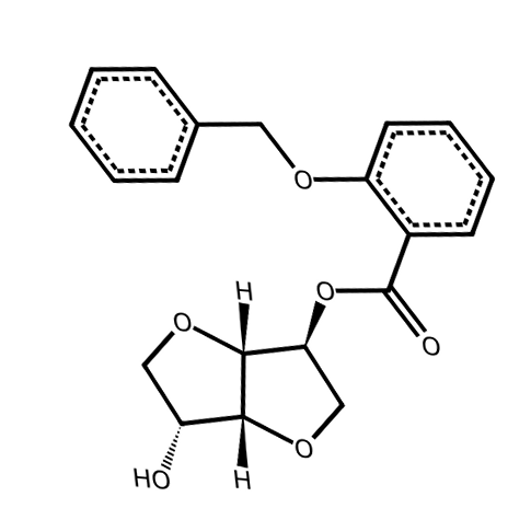 O=C(O[C@H]1CO[C@H]2[C@@H]1OC[C@H]2O)c1ccccc1OCc1ccccc1